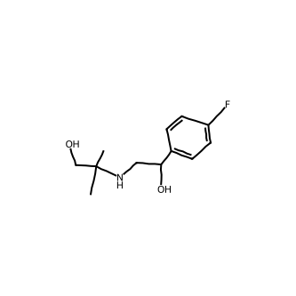 CC(C)(CO)NCC(O)c1ccc(F)cc1